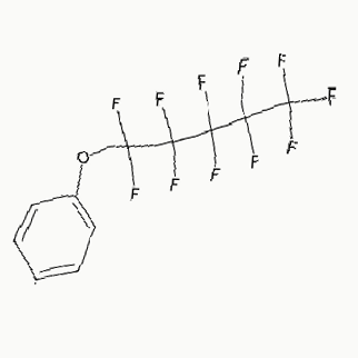 FC(F)(F)C(F)(F)C(F)(F)C(F)(F)C(F)(F)Oc1cc[c]cc1